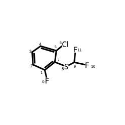 Fc1cccc(Cl)c1SC(F)F